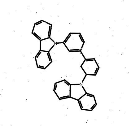 C1=CC(n2c3ccccc3c3ccccc32)CC(c2cccc(-n3c4ccccc4c4ccccc43)c2)=C1